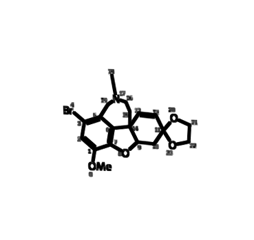 COc1cc(Br)c2c3c1OC1CC4(C=CC31CCN(C)C2)OCCO4